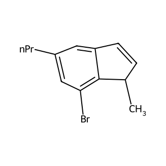 CCCc1cc(Br)c2c(c1)C=CC2C